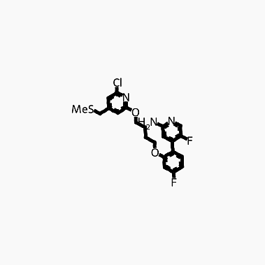 CSCc1cc(Cl)nc(OCCCCOc2cc(F)ccc2-c2cc(N)ncc2F)c1